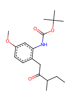 CCC(C)C(=O)Cc1ccc(OC)cc1NC(=O)OC(C)(C)C